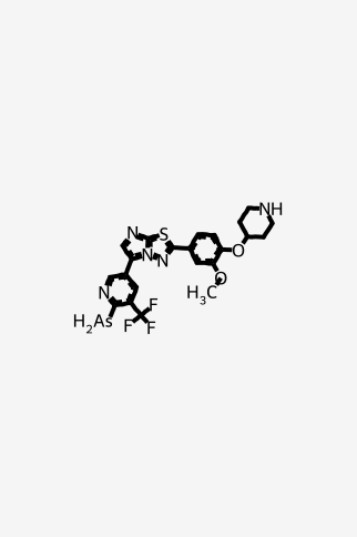 COc1cc(-c2nn3c(-c4cnc([AsH2])c(C(F)(F)F)c4)cnc3s2)ccc1OC1CCNCC1